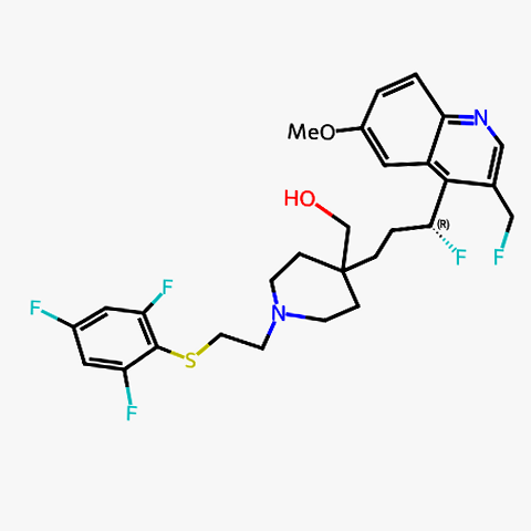 COc1ccc2ncc(CF)c([C@H](F)CCC3(CO)CCN(CCSc4c(F)cc(F)cc4F)CC3)c2c1